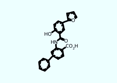 O=C(Nc1cc(-c2ccccc2)ccc1C(=O)O)c1cc(-c2ccco2)ccc1O